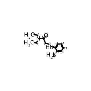 CCN(CC)C(=O)CCNc1ccccc1N